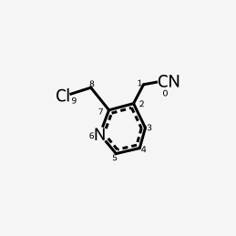 N#CCc1cccnc1CCl